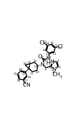 Cn1ccnc1CN(C(=O)Nc1cc(Cl)cc(Cl)c1)[C@@H]1CC[C@]2(c3cccc(C#N)c3)CC2C1